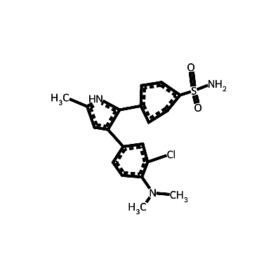 Cc1cc(-c2ccc(N(C)C)c(Cl)c2)c(-c2ccc(S(N)(=O)=O)cc2)[nH]1